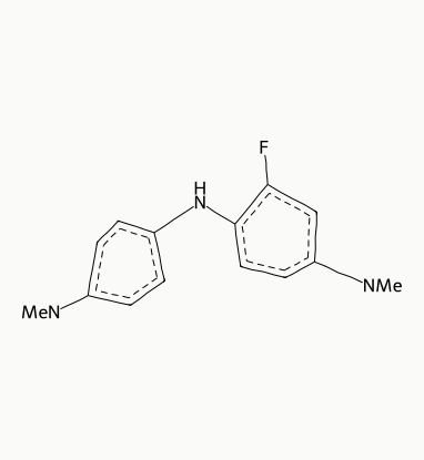 CNc1ccc(Nc2ccc(NC)cc2F)cc1